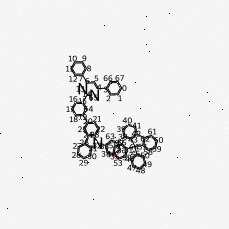 c1ccc(-c2cc(-c3ccccc3)nc(-c3cccc(-c4ccc5c(c4)c4ccccc4n5-c4cccc(-c5cccc6c5C(c5ccccc5)(c5ccccc5)c5ccccc5-6)c4)c3)n2)cc1